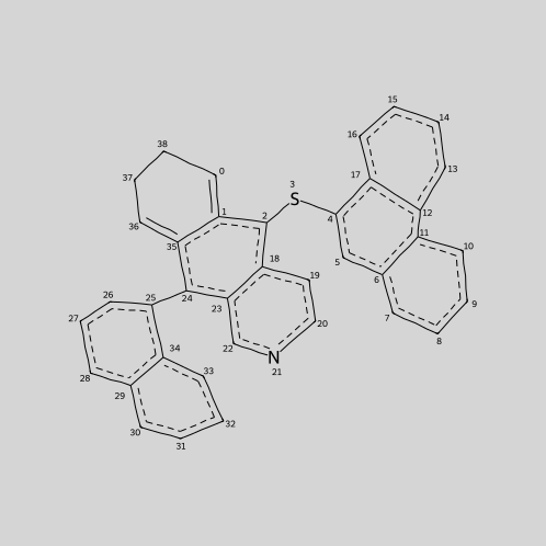 C1=c2c(Sc3cc4ccccc4c4ccccc34)c3ccncc3c(-c3cccc4ccccc34)c2=CCC1